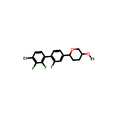 CCOC1CCC(c2ccc(-c3ccc(CC)c(F)c3F)c(F)c2)OC1